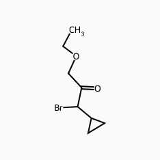 CCOCC(=O)C(Br)C1CC1